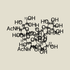 CC(=O)N[C@H]1[C@H](O[C@@H]2[C@H](O[C@]3(C(=O)O)C[C@H](O)[C@@H](NC(C)=O)[C@H]([C@H](O)[C@@H](CO)O[C@]4(C(=O)O)C[C@H](O)[C@@H](NC(C)=O)[C@H]([C@H](O)[C@H](O)CO)O4)O3)[C@@H](O)[C@H](O)O[C@@H]2CO)O[C@H](CO)[C@H](O)[C@@H]1O[C@@H]1O[C@H](CO)[C@H](O)[C@H](O)[C@H]1O